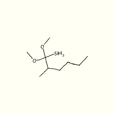 CCCCC(C)C([SiH3])(OC)OC